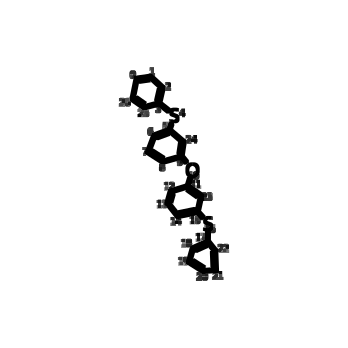 c1ccc(Sc2cccc(Oc3cccc(Sc4ccccc4)c3)c2)cc1